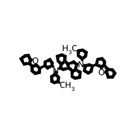 Cc1cccc(N(c2cccc(-c3cccc4c3oc3ccccc34)c2)c2cc3c4ccccc4c(N(c4cccc(C)c4)c4cccc(-c5cccc6c5oc5ccccc56)c4)cc3c3ccccc23)c1